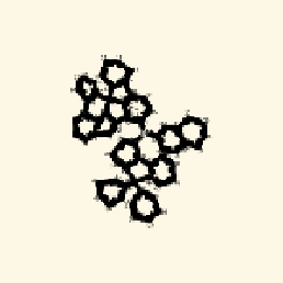 CCc1ccc2cccc3c2c1C1(c2ccccc2-c2ccc(N(c4ccc5ccccc5c4)c4cccc5c4-c4ccccc4C5(c4ccccc4)c4ccccc4)cc21)c1ccccc1-3